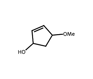 COC1C=CC(O)C1